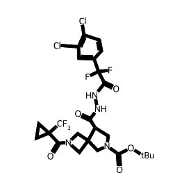 CC(C)(C)OC(=O)N1CC(C(=O)NNC(=O)C(F)(F)c2ccc(Cl)c(Cl)c2)C2(C1)CN(C(=O)C1(C(F)(F)F)CC1)C2